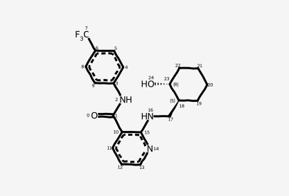 O=C(Nc1ccc(C(F)(F)F)cc1)c1cccnc1NC[C@@H]1CCCC[C@H]1O